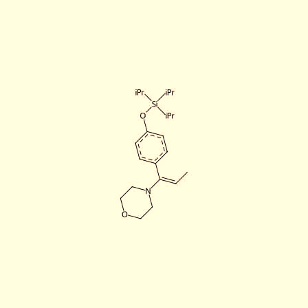 C/C=C(\c1ccc(O[Si](C(C)C)(C(C)C)C(C)C)cc1)N1CCOCC1